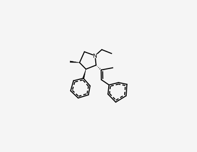 CCN1C[C@H](C)[C@H](c2ccccc2)[C@H]1C(C)=Cc1ccccc1